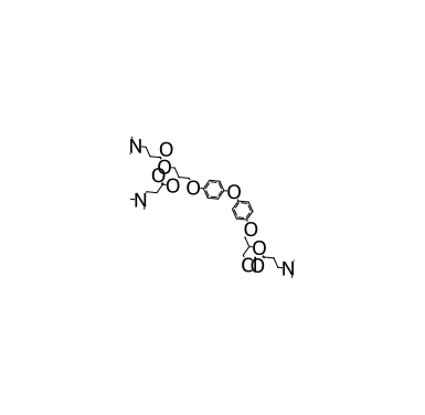 CN(C)CCC(=O)OCC(COc1ccc(Oc2ccc(OCC(CCl)OC(=O)CCN(C)C)cc2)cc1)OC(=O)CCN(C)C